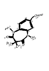 CCCN1C(=O)C(C)(C)C(=O)N(C)c2cc(OC)ccc21